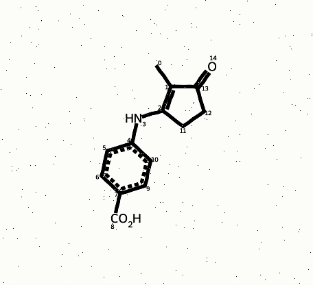 CC1=C(Nc2ccc(C(=O)O)cc2)CCC1=O